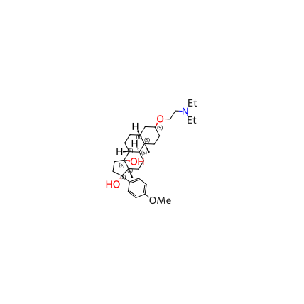 CCN(CC)CCO[C@H]1CC[C@@]2(C)[C@H](CC[C@@H]3[C@@H]2CC[C@]2(C)[C@@](O)(c4ccc(OC)cc4)CC[C@]32O)C1